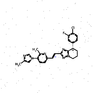 Cc1cn(-c2ccc(/C=C/c3nc4n(n3)CCC[C@H]4c3ccc(Cl)c(F)c3)nc2C)cn1